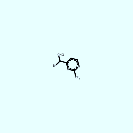 O=CC(Br)c1ccnc(C(F)(F)F)n1